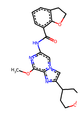 COc1nc(NC(=O)c2cccc3c2OCC3)cn2cc(C3CCOCC3)nc12